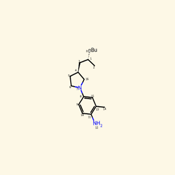 CCCC[C@H](C)C[C@@H]1CCN(c2ccc(N)c(C)c2)C1